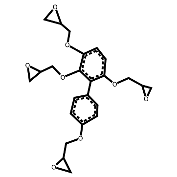 c1cc(-c2c(OCC3CO3)ccc(OCC3CO3)c2OCC2CO2)ccc1OCC1CO1